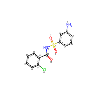 Nc1c[c]cc(S(=O)(=O)NC(=O)c2ccccc2Cl)c1